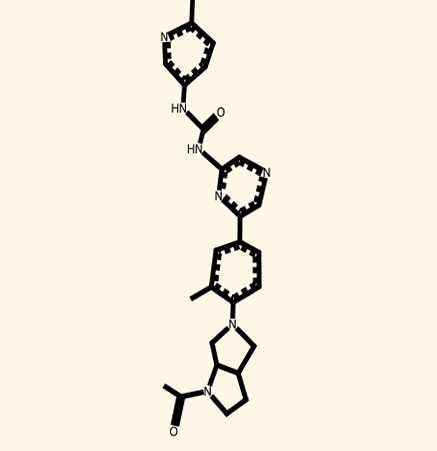 CC(=O)N1CCC2CN(c3ccc(-c4cncc(NC(=O)Nc5ccc(C)nc5)n4)cc3C)CC21